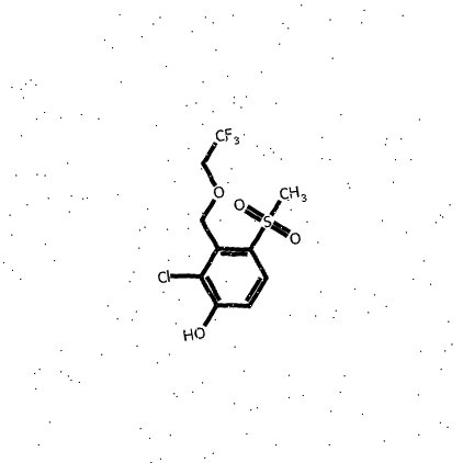 CS(=O)(=O)c1ccc(O)c(Cl)c1COCC(F)(F)F